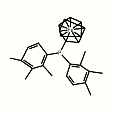 Cc1ccc(P(c2ccc(C)c(C)c2C)[C]23[CH]4[CH]5[CH]6[CH]2[Fe]56432789[CH]3[CH]2[CH]7[CH]8[CH]39)c(C)c1C